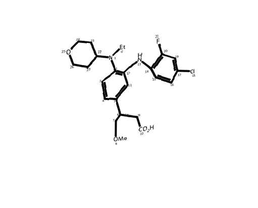 CCN(c1ccc(C(COC)CC(=O)O)cc1Nc1ccc(Cl)cc1F)C1CCOCC1